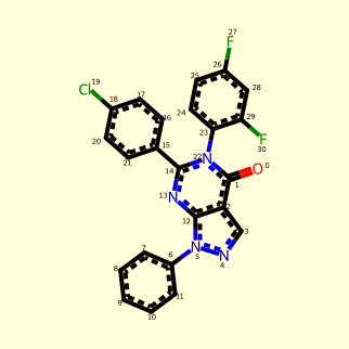 O=c1c2cnn(-c3ccccc3)c2nc(-c2ccc(Cl)cc2)n1-c1ccc(F)cc1F